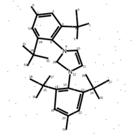 Cc1cc(C(C)(C)C)c(N2C=CN(c3c(C(C)(C)C)cc(C)cc3C(C)(C)C)C2)c(C(C)(C)C)c1